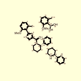 COc1cccc(F)c1-c1nc(C(=O)N2CCCC[C@H]2c2ccccn2)cs1.COc1cccc(F)c1B(O)O.c1ccc([C@@H]2CCCCN2)nc1